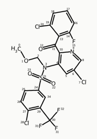 COCN(c1cc(Cl)cnc1C(=O)c1c(F)cccc1Cl)S(=O)(=O)c1ccc(Cl)c(C(F)(F)F)c1